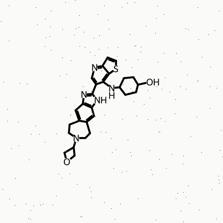 OC1CCC(Nc2c(-c3nc4cc5c(cc4[nH]3)CCN(C3COC3)CC5)cnc3ccsc23)CC1